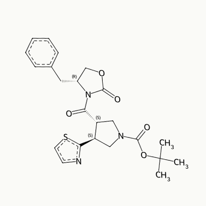 CC(C)(C)OC(=O)N1C[C@@H](C(=O)N2C(=O)OC[C@H]2Cc2ccccc2)[C@H](c2nccs2)C1